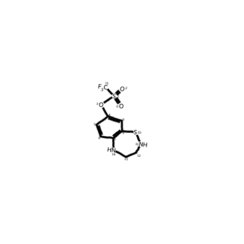 O=S(=O)(Oc1ccc2c(c1)SNCCN2)C(F)(F)F